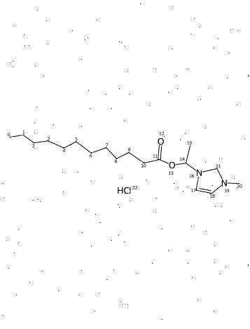 CCCCCCCCCCCC(=O)OC(C)N1C=CN(C)C1.Cl